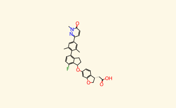 Cc1cc(-c2ccc(=O)n(C)n2)cc(C)c1-c1ccc(F)c2c1CC[C@H]2Oc1ccc2c(c1)OC[C@H]2CC(=O)O